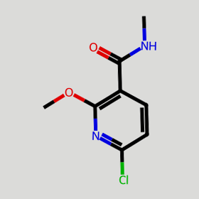 CNC(=O)c1ccc(Cl)nc1OC